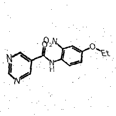 CCOc1ccc(NC(=O)c2cncnc2)c([N+](=O)[O-])c1